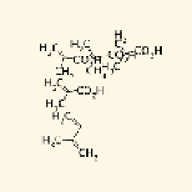 C=C(C)C(=O)O.C=C(C)C(=O)O.C=C(C)C(=O)O.C=C(C)C(=O)O.C=CC(=C)C